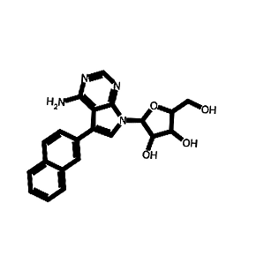 Nc1ncnc2c1c(-c1ccc3ccccc3c1)cn2C1OC(CO)C(O)C1O